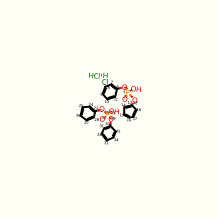 Cl.Cl.O=P(O)(Oc1ccccc1)Oc1ccccc1.O=P(O)(Oc1ccccc1)Oc1ccccc1